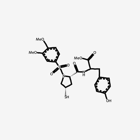 COC(=O)C(Cc1ccc(O)cc1)NC(=O)[C@@H]1C[C@H](S)CN1S(=O)(=O)c1ccc(OC)c(OC)c1